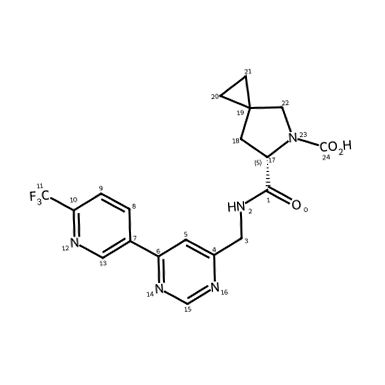 O=C(NCc1cc(-c2ccc(C(F)(F)F)nc2)ncn1)[C@@H]1CC2(CC2)CN1C(=O)O